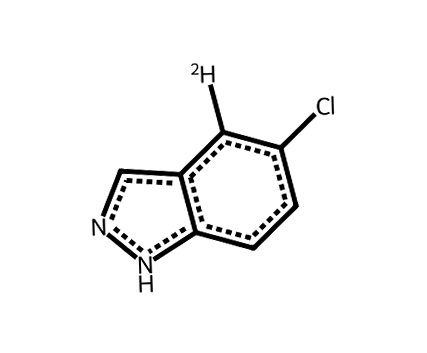 [2H]c1c(Cl)ccc2[nH]ncc12